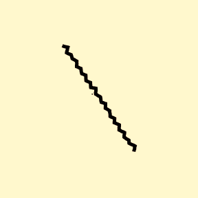 CCCCCCCCCCCCCC[CH]CCCCCCCCCCCCCCCC